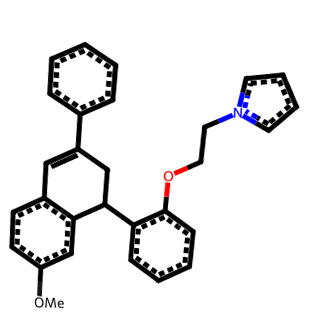 COc1ccc2c(c1)C(c1ccccc1OCCn1cccc1)CC(c1ccccc1)=C2